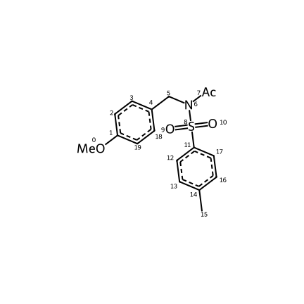 COc1ccc(CN(C(C)=O)S(=O)(=O)c2ccc(C)cc2)cc1